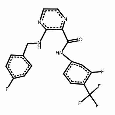 O=C(Nc1ccc(C(F)(F)F)c(F)c1)c1nccnc1NCc1ccc(F)cc1